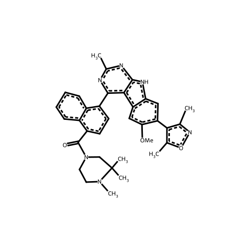 COc1cc2c(cc1-c1c(C)noc1C)[nH]c1nc(C)nc(-c3ccc(C(=O)N4CCN(C)C(C)(C)C4)c4ccccc34)c12